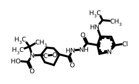 CC(C)Nc1cc(Cl)ncc1C(=O)NNC(=O)C12CCC(N(C(=O)O)C(C)(C)C)(CC1)CO2